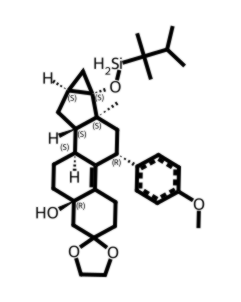 COc1ccc([C@H]2C[C@@]3(C)[C@@H](C[C@H]4C[C@]43O[SiH2]C(C)(C)C(C)C)[C@@H]3CC[C@@]4(O)CC5(CCC4=C32)OCCO5)cc1